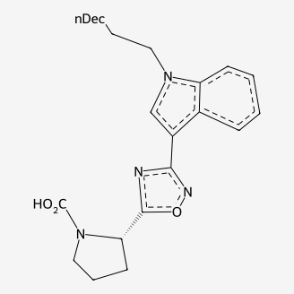 CCCCCCCCCCCCn1cc(-c2noc([C@@H]3CCCN3C(=O)O)n2)c2ccccc21